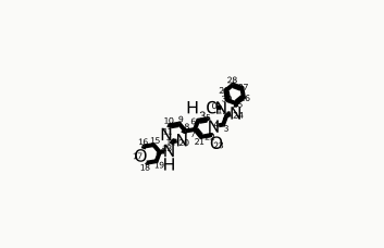 Cn1c(Cn2ccc(-c3ccnc(NC4CCOCC4)n3)cc2=O)nc2ccccc21